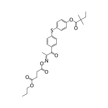 CCCOC(=O)CCC(=O)O/N=C(\C)C(=O)c1ccc(Sc2ccc(OC(=O)C(C)(C)CC)cc2)cc1